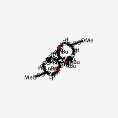 CCCCOn1c2ccc(c1=O)OCC(=O)NCCN(CCOCCOCCOC)CCNC(=O)COc1ccc(n(OCCCC)c1=O)C(=O)NCCN(CCN1CCNC(=O)c3ccc(c(=O)n3OCCCC)OCC(=O)NCCN(CCOCCOCCOC)CCNC(=O)COc3ccc(n(OCCCC)c3=O)C(=O)NC(CCCCNC(=O)OC(C)(C)C)C1)CCNC2=O